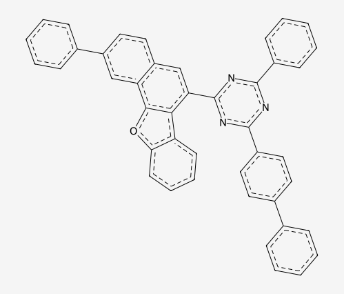 c1ccc(-c2ccc(-c3nc(-c4ccccc4)nc(-c4cc5ccc(-c6ccccc6)cc5c5oc6ccccc6c45)n3)cc2)cc1